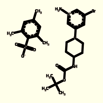 CC(C)(C)OC(=O)NC1CCN(c2cc(Br)c[n+](N)c2)CC1.Cc1cc(C)c(S(=O)(=O)[O-])c(C)c1